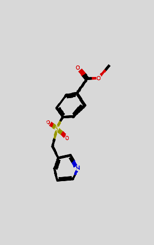 COC(=O)c1ccc(S(=O)(=O)Cc2cccnc2)cc1